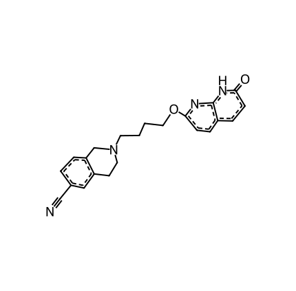 N#Cc1ccc2c(c1)CCN(CCCCOc1ccc3ccc(=O)[nH]c3n1)C2